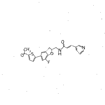 CC(=O)c1ccc(-c2cc(F)c3c(c2)CC(CNC(=O)C=Cc2cccnc2)O3)s1